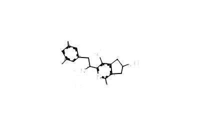 Cl.NC(Cc1cc(F)cc(F)c1)c1nc(Br)c2c(c1Br)CC(O)C2